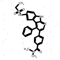 CCS(=O)(=O)Nc1ccc2[nH]c3ncc(-c4ccc(C(=O)N(C)C)cc4)c(-c4ccccc4)c3c2c1